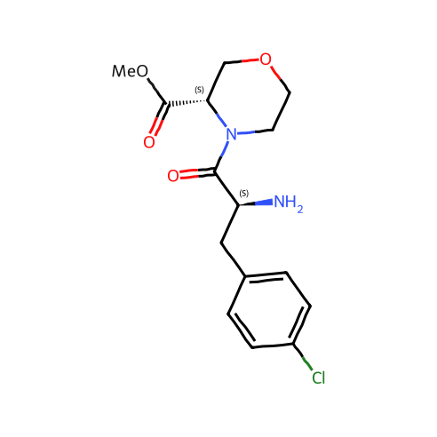 COC(=O)[C@@H]1COCCN1C(=O)[C@@H](N)Cc1ccc(Cl)cc1